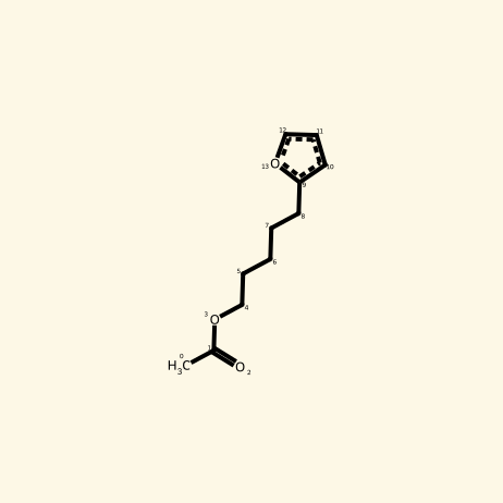 CC(=O)OCCCCCc1ccco1